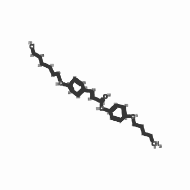 CCCCCOc1ccc(OC(=O)/C=C/c2ccc(OCCCCCCCl)cc2)cc1